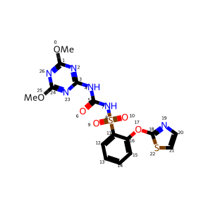 COc1nc(NC(=O)NS(=O)(=O)c2ccccc2Oc2nccs2)nc(OC)n1